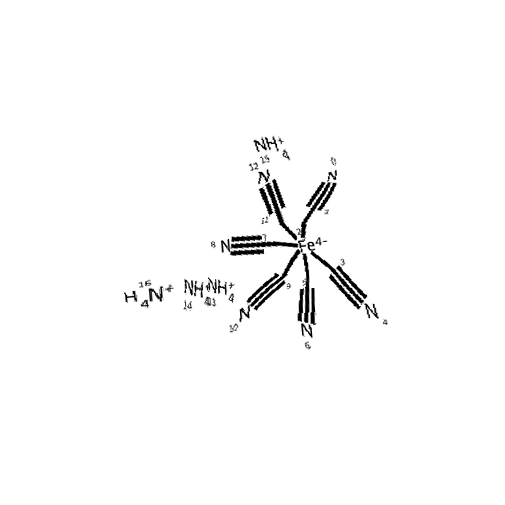 N#[C][Fe-4]([C]#N)([C]#N)([C]#N)([C]#N)[C]#N.[NH4+].[NH4+].[NH4+].[NH4+]